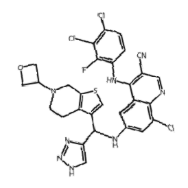 N#Cc1cnc2c(Cl)cc(NC(c3c[nH]nn3)c3csc4c3CCN(C3COC3)C4)cc2c1Nc1ccc(Cl)c(Cl)c1F